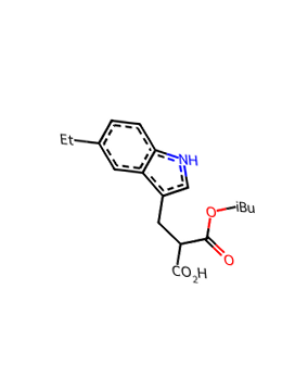 CCc1ccc2[nH]cc(CC(C(=O)O)C(=O)OC(C)CC)c2c1